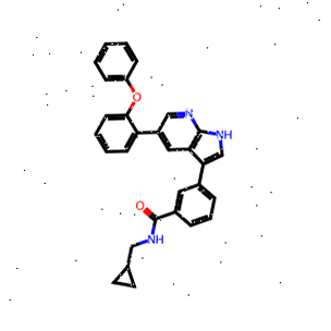 O=C(NCC1CC1)c1cccc(-c2c[nH]c3ncc(-c4ccccc4Oc4ccccc4)cc23)c1